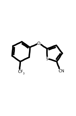 N#Cc1ccc(OC2=CC=CC(C(F)(F)F)C2)s1